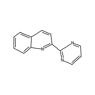 [c]1cc2ccccc2nc1-c1ncccn1